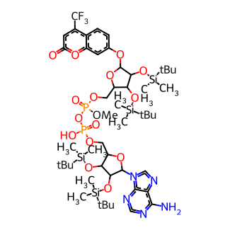 COP(=O)(OCC1OC(Oc2ccc3c(C(F)(F)F)cc(=O)oc3c2)C(O[Si](C)(C)C(C)(C)C)C1O[Si](C)(C)C(C)(C)C)OP(=O)(O)OCC1OC(n2cnc3c(N)ncnc32)C(O[Si](C)(C)C(C)(C)C)C1O[Si](C)(C)C(C)(C)C